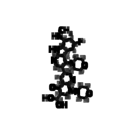 CNc1cc(F)cc2c1[nH]c1ncc(-c3cnc4c(c3)c(=O)c(C(O)O)cn4N3CCOCC3)c(N3CCOCC3)c12